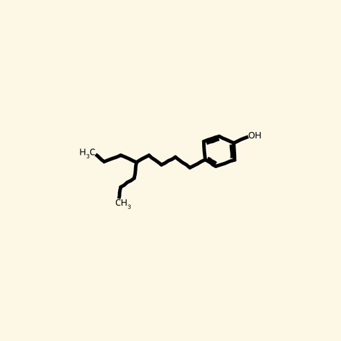 CCCC(CCC)CCCCc1ccc(O)cc1